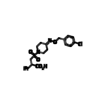 CC(C)C(CS(=O)(=O)N1CCC(=NOCc2ccc(Cl)cc2)CC1)C(=O)O